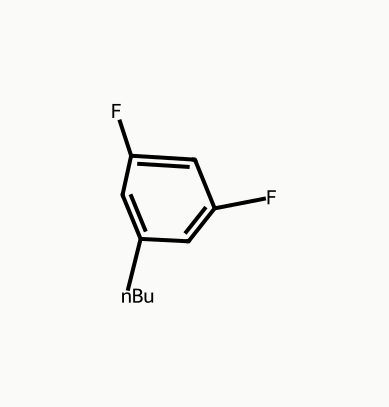 [CH2]CCCc1cc(F)cc(F)c1